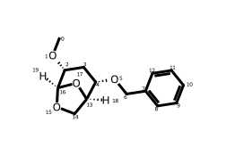 CO[C@@H]1C[C@H](OCc2ccccc2)[C@H]2CO[C@@H]1O2